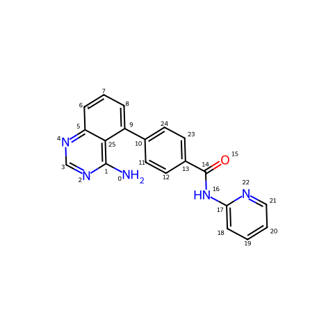 Nc1ncnc2[c]ccc(-c3ccc(C(=O)Nc4ccccn4)cc3)c12